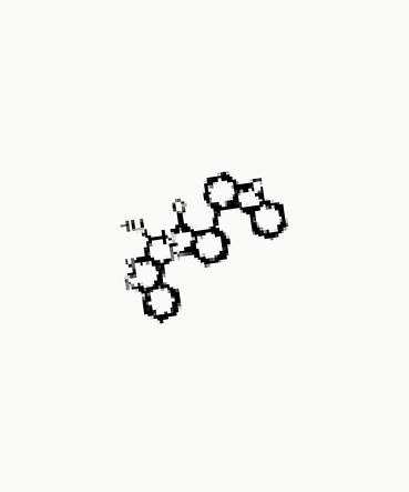 O=c1c2c(-c3cccc4oc5ccccc5c34)cccc2n2n1C(O)c1nnc3ccccc3c1-2